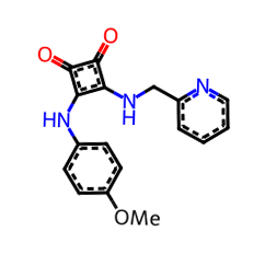 COc1ccc(Nc2c(NCc3ccccn3)c(=O)c2=O)cc1